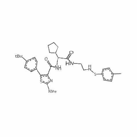 CNc1nc(C(=O)NC(C(=O)NCCNSc2ccc(C)cc2)C2CCCC2)c(-c2ccc(C(C)(C)C)cc2)s1